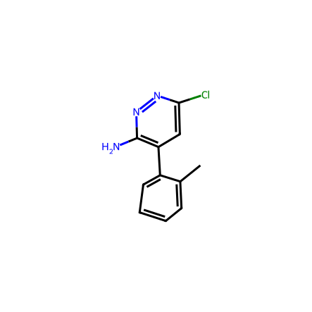 Cc1ccccc1-c1cc(Cl)nnc1N